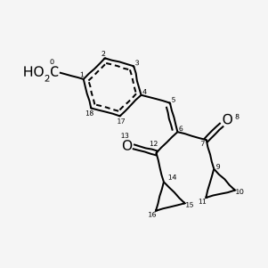 O=C(O)c1ccc(C=C(C(=O)C2CC2)C(=O)C2CC2)cc1